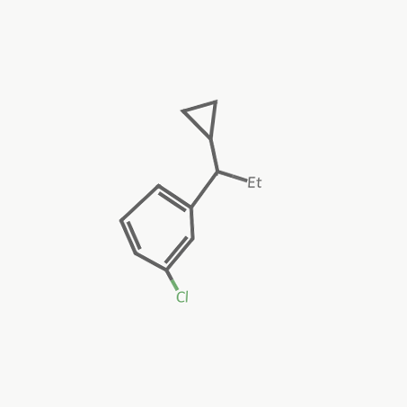 CC[C](c1cccc(Cl)c1)C1CC1